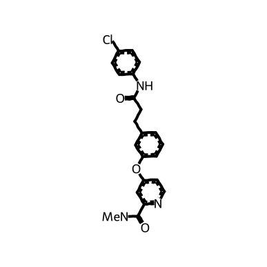 CNC(=O)c1cc(Oc2cccc(CCC(=O)Nc3ccc(Cl)cc3)c2)ccn1